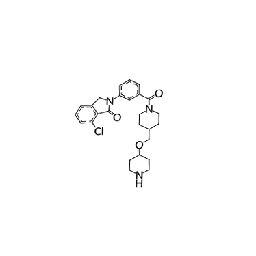 O=C(c1cccc(N2Cc3cccc(Cl)c3C2=O)c1)N1CCC(COC2CCNCC2)CC1